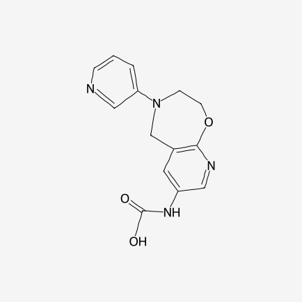 O=C(O)Nc1cnc2c(c1)CN(c1cccnc1)CCO2